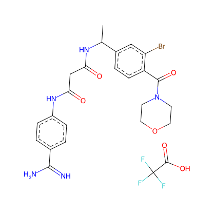 CC(NC(=O)CC(=O)Nc1ccc(C(=N)N)cc1)c1ccc(C(=O)N2CCOCC2)c(Br)c1.O=C(O)C(F)(F)F